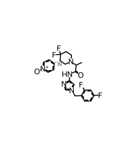 CC(C(=O)Nc1cn(Cc2ccc(F)cc2F)cn1)N1CCC(F)(F)[C@@H](c2cc[n+]([O-])cc2)C1